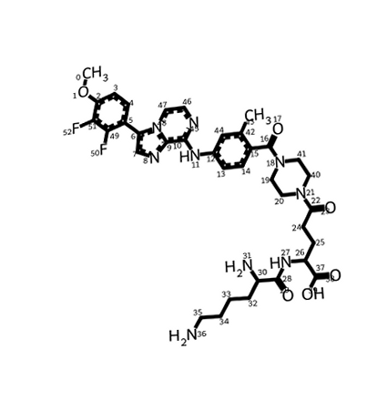 COc1ccc(-c2cnc3c(Nc4ccc(C(=O)N5CCN(C(=O)CCC(NC(=O)C(N)CCCCN)C(=O)O)CC5)c(C)c4)nccn23)c(F)c1F